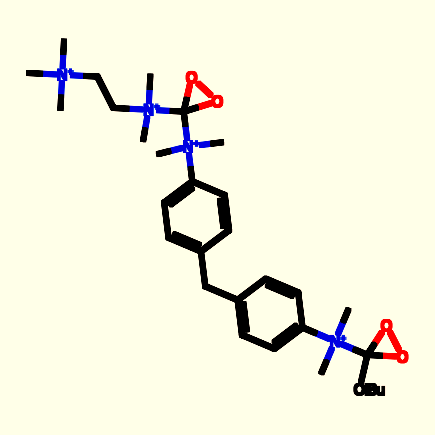 CC(C)COC1([N+](C)(C)c2ccc(Cc3ccc([N+](C)(C)C4([N+](C)(C)CC[N+](C)(C)C)OO4)cc3)cc2)OO1